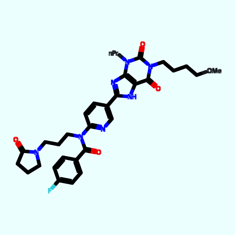 CCCn1c(=O)n(CCCCOC)c(=O)c2[nH]c(-c3ccc(N(CCCN4CCCC4=O)C(=O)c4ccc(F)cc4)nc3)nc21